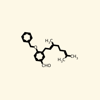 CC(C)=CCC/C(C)=C/Cc1cc(C=O)ccc1OCc1ccccc1